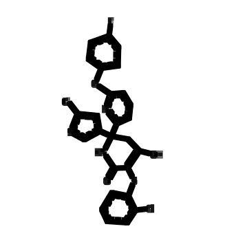 O=C1NC(c2csc(Cl)c2)(c2cccc(Oc3ccc(F)cc3)n2)CC(O)=C1Sc1ccccc1Cl